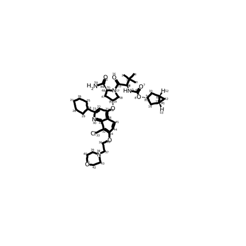 CC(C)(C)[C@H](NC(=O)O[C@@H]1C[C@@H]2C[C@@H]2C1)C(=O)N1C[C@H](Oc2cc(C3CCCCC3)nc3c(Cl)c(OCCN4CCOCC4)ccc23)C[C@H]1C(N)=O